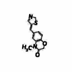 CN1C(=O)COc2ccc(C=C3C=NCS3)cc21